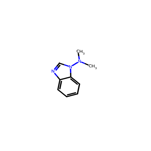 CN(C)n1[c]nc2ccccc21